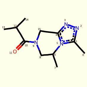 Cc1nnc2n1C(C)CN(C(=O)C(C)C)C2